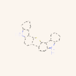 c1ccc2c(c1)[nH]c1ccc3c4ccc5[nH]c6ccccc6c5c4sc3c12